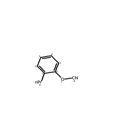 CCCc1ccccc1OC#N